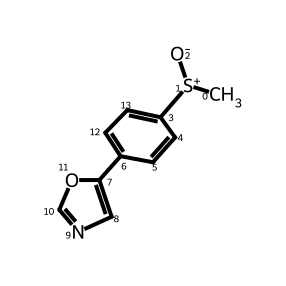 C[S+]([O-])c1ccc(-c2cnco2)cc1